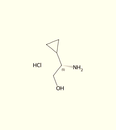 Cl.N[C@H](CO)C1CC1